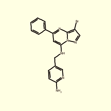 Nc1ccc(CNc2cc(-c3ccccc3)nc3c(Br)cnn23)cn1